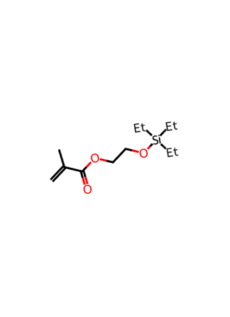 C=C(C)C(=O)OCCO[Si](CC)(CC)CC